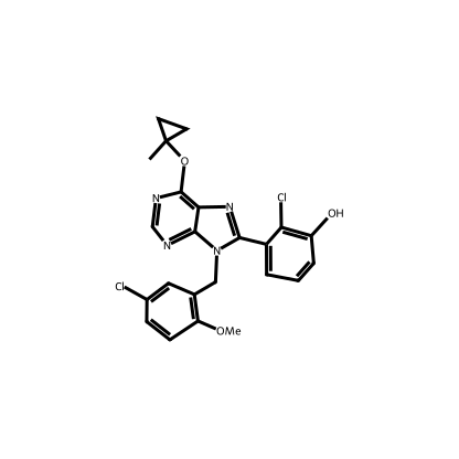 COc1ccc(Cl)cc1Cn1c(-c2cccc(O)c2Cl)nc2c(OC3(C)CC3)ncnc21